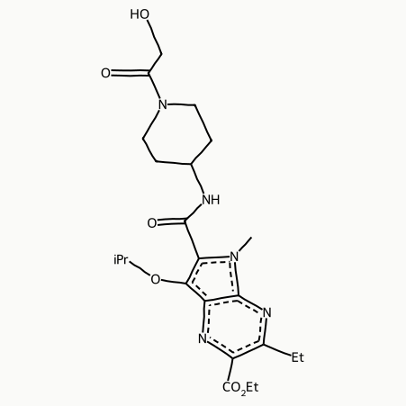 CCOC(=O)c1nc2c(OC(C)C)c(C(=O)NC3CCN(C(=O)CO)CC3)n(C)c2nc1CC